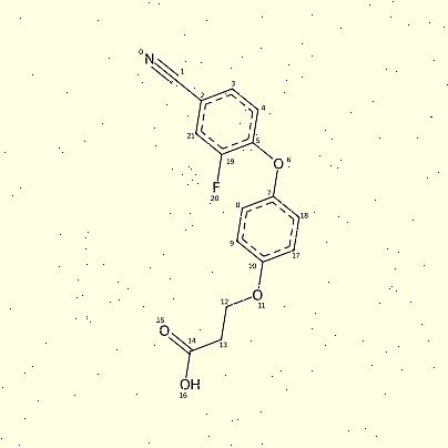 N#Cc1ccc(Oc2ccc(OCCC(=O)O)cc2)c(F)c1